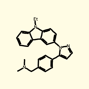 CCn1c2ccccc2c2cc(-n3nccc3-c3ccc(CN(C)C)cc3)ccc21